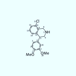 COc1ccc(C2CNCc3c(Cl)cccc32)cc1OC